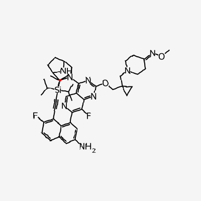 CON=C1CCN(CC2(COc3nc(N4CC5CCC(C4)N5)c4cnc(-c5cc(N)cc6ccc(F)c(C#C[Si](C(C)C)(C(C)C)C(C)C)c56)c(F)c4n3)CC2)CC1